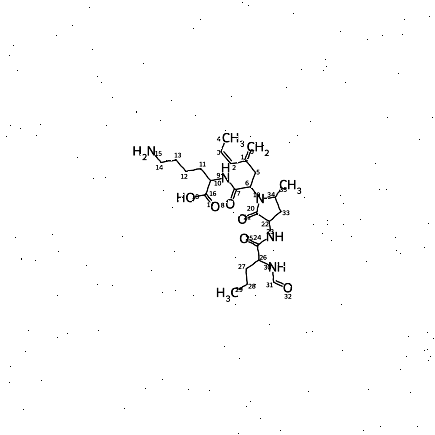 C=C(/C=C\C)CC(C(=O)NC(CCCCN)C(=O)O)N1C(=O)C(NC(=O)C(CCC)NC=O)CC1C